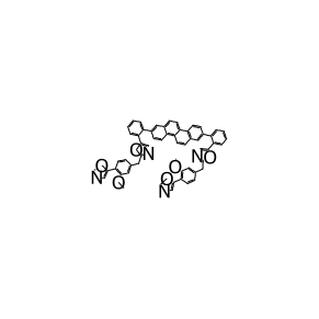 COc1cc(Cc2ncc(-c3ccccc3-c3ccc4c(ccc5c6ccc(-c7ccccc7-c7cnc(Cc8ccc(-c9cnco9)c(OC)c8)o7)cc6ccc45)c3)o2)ccc1-c1cnco1